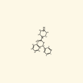 O=C(CC(c1ccccc1)c1ccccc1)N1CCNCC1